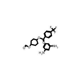 Nc1cccc(N)c1.O=COC1CCC(OC(=O)c2ccc(C(F)(F)F)cc2)CC1